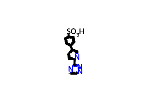 O=S(=O)(O)c1ccc(-c2ccc(-c3n[c]cnn3)nc2)cc1